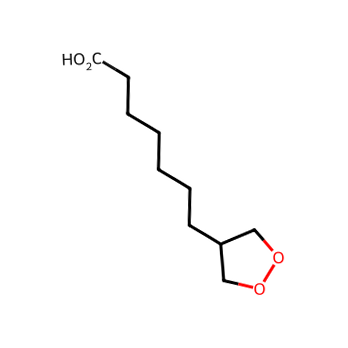 O=C(O)CCCCCCC1COOC1